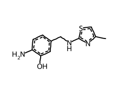 Cc1csc(NCc2ccc(N)c(O)c2)n1